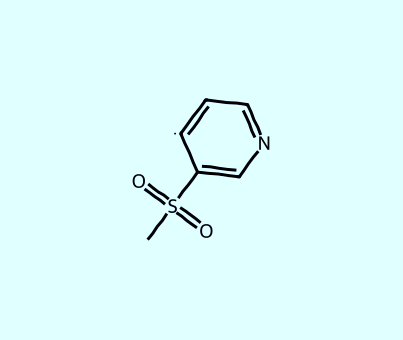 CS(=O)(=O)c1[c]ccnc1